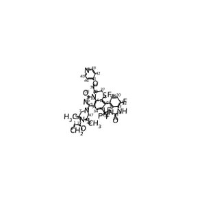 C=CC(=O)N1[C@H](C)CN(c2nc(=O)n3c4c(c(-c5c(F)cc(F)c6[nH]c(=O)[nH]c56)c(C(F)(F)F)cc24)SC[C@@H]3COc2ccncc2)C[C@@H]1C